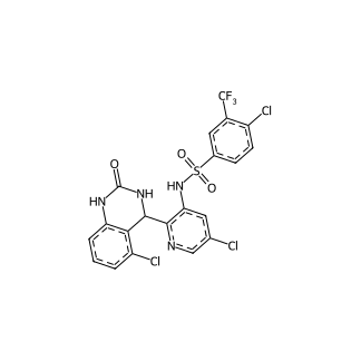 O=C1Nc2cccc(Cl)c2C(c2ncc(Cl)cc2NS(=O)(=O)c2ccc(Cl)c(C(F)(F)F)c2)N1